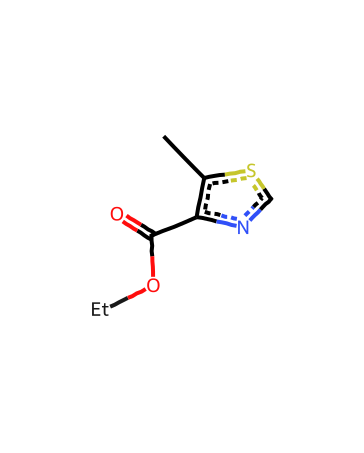 CCOC(=O)c1ncsc1C